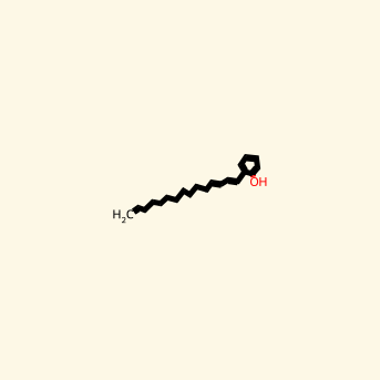 C=CCCCCCCCCCC=CC=Cc1ccccc1O